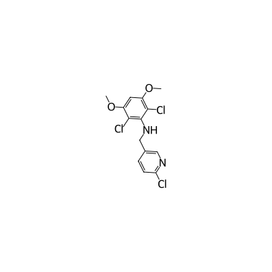 COc1cc(OC)c(Cl)c(NCc2ccc(Cl)nc2)c1Cl